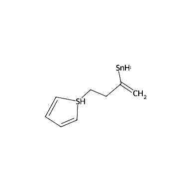 C=[C]([SnH])CC[SH]1C=CC=C1